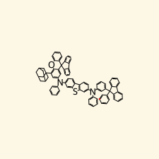 c1ccc(N(c2cccc(C3(c4ccccc4)c4ccccc4-c4ccccc43)c2)c2ccc3c(c2)sc2cc(N(c4ccccc4)c4cc(C56CC7CC(CC(C7)C5)C6)c5c(c4)C4(c6ccccc6O5)c5ccccc5-c5ccccc54)ccc23)cc1